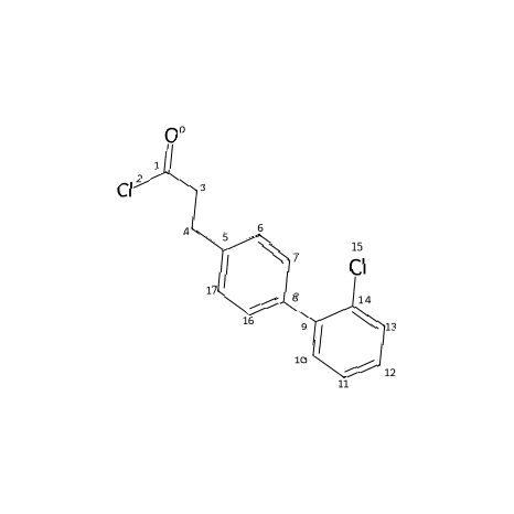 O=C(Cl)CCc1ccc(-c2ccccc2Cl)cc1